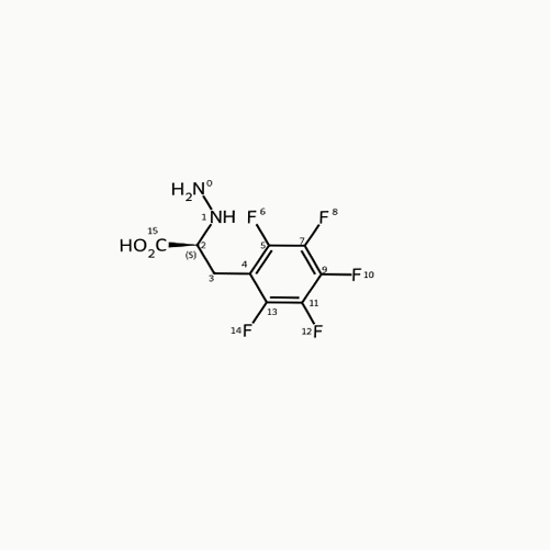 NN[C@@H](Cc1c(F)c(F)c(F)c(F)c1F)C(=O)O